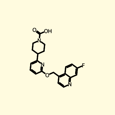 O=C(O)N1CCC(c2cccc(OCc3ccnc4cc(F)ccc34)n2)CC1